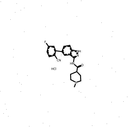 CN1CCC(C(=O)Nc2n[nH]c3ccc(-c4cc(F)ccc4C#N)cc23)CC1.Cl